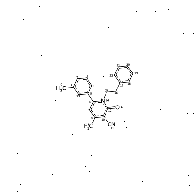 Cc1cccc(-c2cc(C(F)(F)F)c(C#N)c(=O)n2CCc2ccccc2)c1